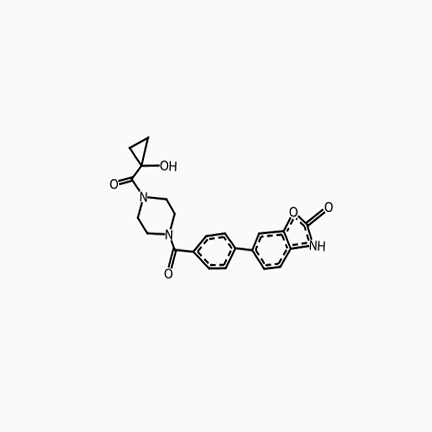 O=C(c1ccc(-c2ccc3[nH]c(=O)oc3c2)cc1)N1CCN(C(=O)C2(O)CC2)CC1